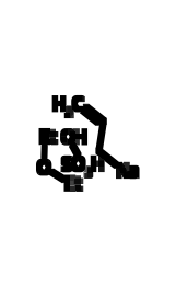 C=C[CH2][Na].CCOCC.O=S(=O)(O)O